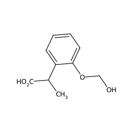 CC(C(=O)O)c1ccccc1OCO